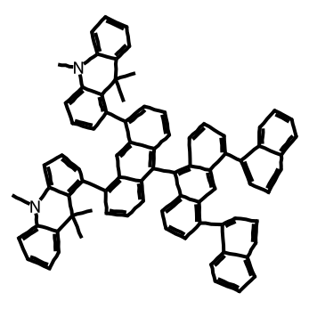 CN1c2ccccc2C(C)(C)c2c(-c3cccc4c(-c5c6cccc(-c7cccc8ccccc78)c6cc6c(-c7cccc8ccccc78)cccc56)c5cccc(-c6cccc7c6C(C)(C)c6ccccc6N7C)c5cc34)cccc21